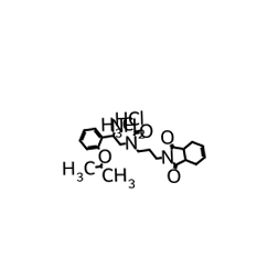 CC(=O)N(CCCN1C(=O)C2CC=CCC2C1=O)CC(N)c1ccccc1OC(C)C.Cl